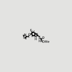 COCC(=O)NCc1cc2cc(F)c(OCc3cscn3)cc2[nH]1